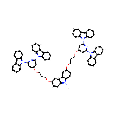 Cn1c2ccc(OCCCOc3cc(-n4c5ccccc5c5ccccc54)nc(-n4c5ccccc5c5ccccc54)c3)cc2c2cc(OCCCOc3cc(-n4c5ccccc5c5ccccc54)nc(-n4c5ccccc5c5ccccc54)c3)ccc21